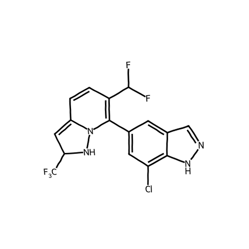 FC(F)C1=C(c2cc(Cl)c3[nH]ncc3c2)N2NC(C(F)(F)F)C=C2C=C1